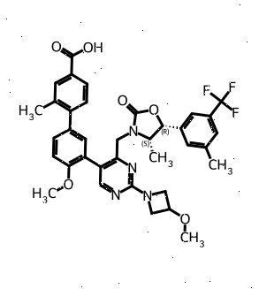 COc1ccc(-c2ccc(C(=O)O)cc2C)cc1-c1cnc(N2CC(OC)C2)nc1CN1C(=O)O[C@H](c2cc(C)cc(C(F)(F)F)c2)[C@@H]1C